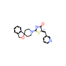 O=C1N=C(N2CCC3(CC2)OCc2ccccc23)S/C1=C\c1cccnc1